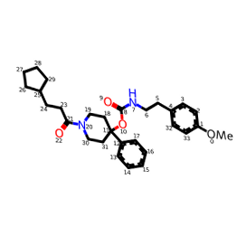 COc1ccc(CCNC(=O)OC2(c3ccccc3)CCN(C(=O)CCC3CCCC3)CC2)cc1